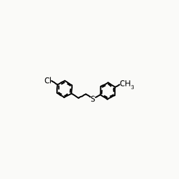 Cc1ccc(SCCc2ccc(Cl)cc2)cc1